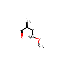 C=C([C]=O)C[SiH2]O[SiH3]